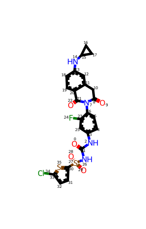 O=C(Nc1ccc(N2C(=O)Cc3cc(NC4CC4)ccc3C2=O)c(F)c1)NS(=O)(=O)c1ccc(Cl)s1